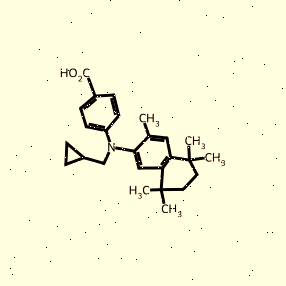 Cc1cc2c(cc1N(CC1CC1)c1ccc(C(=O)O)cc1)C(C)(C)CCC2(C)C